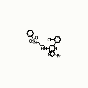 O=S(=O)(NCCCNc1cc(-c2ccccc2Cl)nc2c(Br)cnn12)c1ccccc1